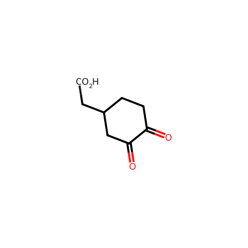 O=C(O)CC1CCC(=O)C(=O)C1